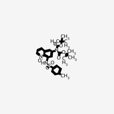 Cc1ccc(S(=O)(=O)Nc2cc(N(C(=O)OC(C)(C)C)C(=O)OC(C)(C)C)cc3ccc[n+]([O-])c23)cc1